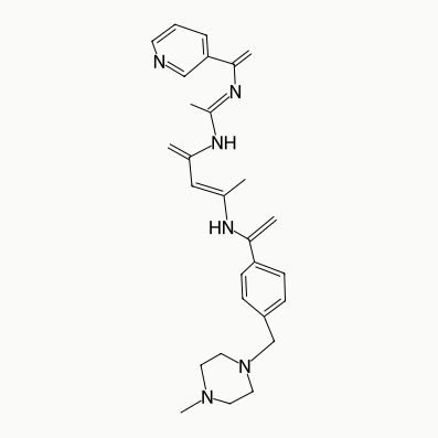 C=C(/C=C(\C)NC(=C)c1ccc(CN2CCN(C)CC2)cc1)N/C(C)=N/C(=C)c1cccnc1